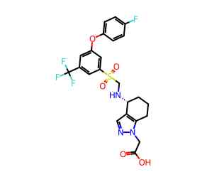 O=C(O)Cn1ncc2c1CCC[C@H]2NCS(=O)(=O)c1cc(Oc2ccc(F)cc2)cc(C(F)(F)F)c1